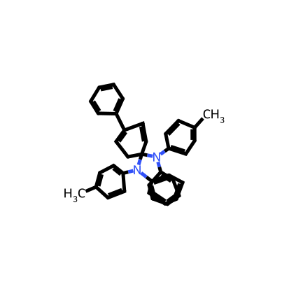 Cc1ccc(N(c2ccccc2)C2(N(c3ccccc3)c3ccc(C)cc3)C=CC(c3ccccc3)=CC2)cc1